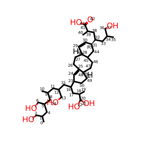 CC(CO)CC(CO)CC(C)CC(CO)CC(CC(C)C(O)O)C1C=C2CC[C@H]3C=C[C@@H](C(CC(C)CO)CC(C)C(=O)O)CC3CC[C@H]2CC1